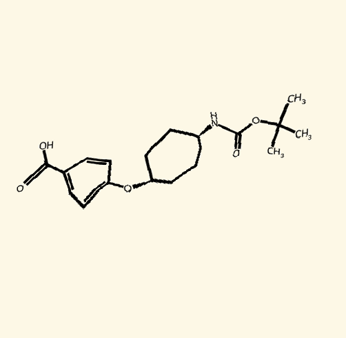 CC(C)(C)OC(=O)N[C@H]1CC[C@@H](Oc2ccc(C(=O)O)cc2)CC1